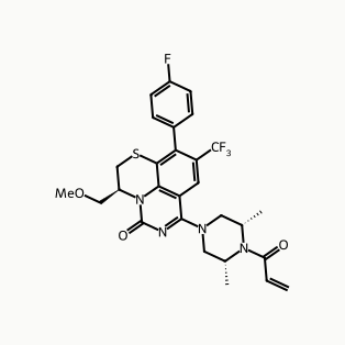 C=CC(=O)N1[C@H](C)CN(c2nc(=O)n3c4c(c(-c5ccc(F)cc5)c(C(F)(F)F)cc24)SC[C@@H]3COC)C[C@@H]1C